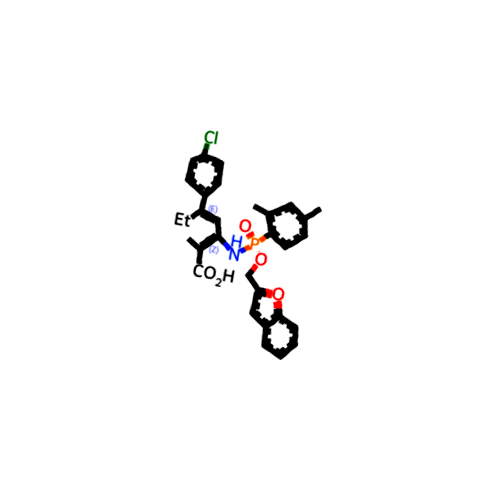 CC/C(=C\C(NP(=O)(OCc1cc2ccccc2o1)c1ccc(C)cc1C)=C(/C)C(=O)O)c1ccc(Cl)cc1